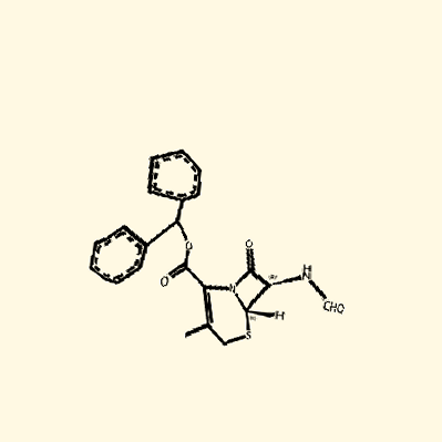 CC1=C(C(=O)OC(c2ccccc2)c2ccccc2)N2C(=O)[C@@H](NC=O)[C@@H]2SC1